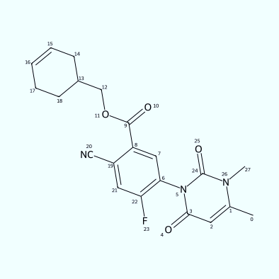 Cc1cc(=O)n(-c2cc(C(=O)OCC3CC=CCC3)c(C#N)cc2F)c(=O)n1C